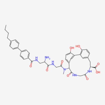 CCCCc1ccc(-c2ccc(C(=O)NCC(N)C(=O)NCC(=O)N(C)C3C(=O)NCC(=O)N[C@H](C(=O)O)Cc4ccc(O)c(c4)-c4cc3ccc4O)cc2)cc1